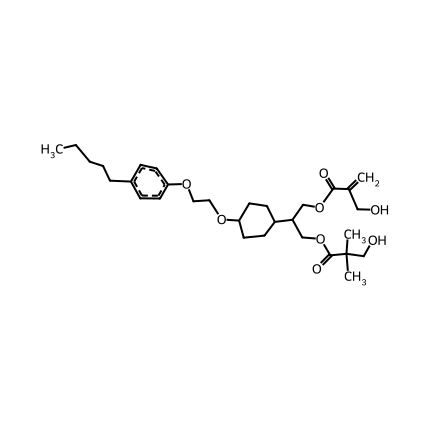 C=C(CO)C(=O)OCC(COC(=O)C(C)(C)CO)C1CCC(OCCOc2ccc(CCCCC)cc2)CC1